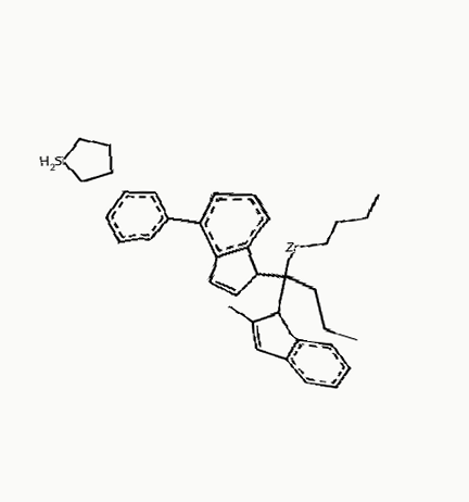 C1CC[SiH2]C1.CCC[CH2][Zr][C](CCC)(C1C=Cc2c(-c3ccccc3)cccc21)C1C(C)=Cc2ccccc21